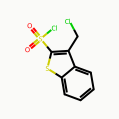 O=S(=O)(Cl)c1sc2ccccc2c1CCl